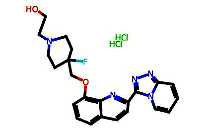 Cl.Cl.OCCN1CCC(F)(COc2cccc3ccc(-c4nnc5ccccn45)nc23)CC1